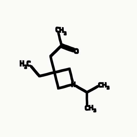 CCC1(CC(C)=O)CN(C(C)C)C1